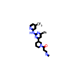 C=NCCC(=O)N1CCCC(c2cc(C(C)C)nc(Nc3cc(C(F)(F)F)ccn3)n2)C1